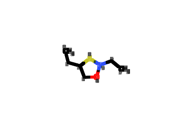 CCC1CON(CC)S1